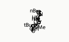 CCCCOC1(c2ncc(C3=CN(c4cc(C(=O)Nc5cc(C(C)(C)C)cc(NS(C)(=O)=O)c5OC)ccc4C)NN3)n2C)CC1